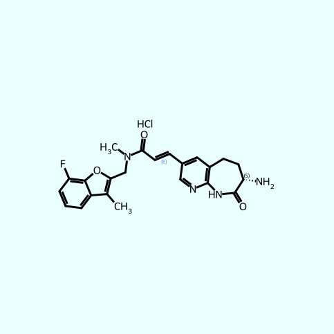 Cc1c(CN(C)C(=O)/C=C/c2cnc3c(c2)CC[C@H](N)C(=O)N3)oc2c(F)cccc12.Cl